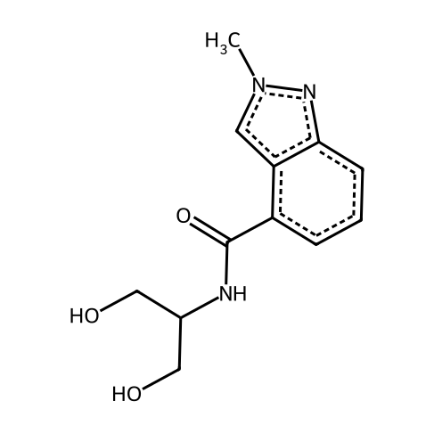 Cn1cc2c(C(=O)NC(CO)CO)cccc2n1